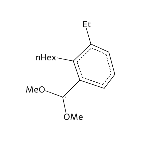 CCCCCCc1c(CC)cccc1[C](OC)OC